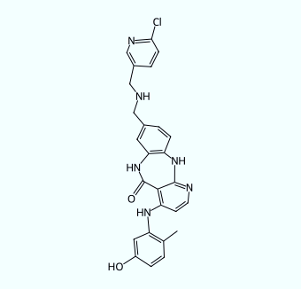 Cc1ccc(O)cc1Nc1ccnc2c1C(=O)Nc1cc(CNCc3ccc(Cl)nc3)ccc1N2